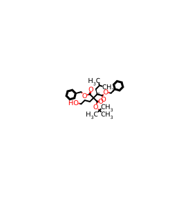 CC(C)C[C@@H](C(=O)OCc1ccccc1)C(CCCO)(C(=O)OCc1ccccc1)C(=O)OC(C)(C)C